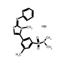 Br.Cc1cc(-c2csc(=Nc3ccccc3)n2C)cc(S(=O)(=O)N(C)C)c1